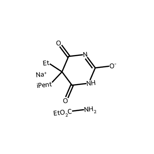 CCCC(C)C1(CC)C(=O)N=C([O-])NC1=O.CCOC(N)=O.[Na+]